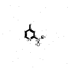 Cc1[c]c([N+](=O)[O-])ncc1